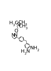 C[Si](C)(C)CCOCn1nccc1-c1ccc(Cc2ccc(N)c(N)c2)cc1